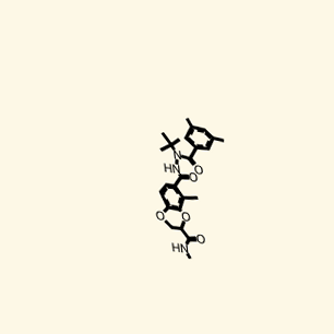 CNC(=O)C1COc2ccc(C(=O)NN(C(=O)c3cc(C)cc(C)c3)C(C)(C)C)c(C)c2O1